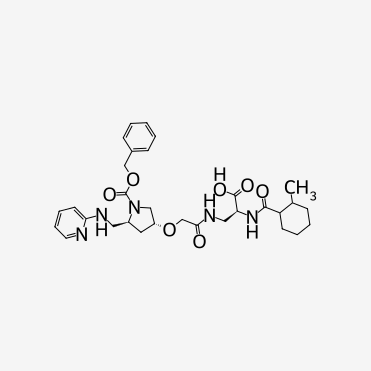 CC1CCCCC1C(=O)N[C@@H](CNC(=O)CO[C@@H]1C[C@@H](CNc2ccccn2)N(C(=O)OCc2ccccc2)C1)C(=O)O